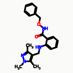 Cc1nn(C)c(C)c1CNc1ccccc1C(=O)NOCc1ccccc1